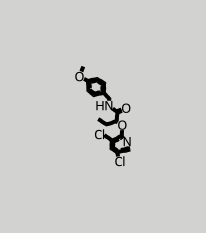 CCC(Oc1ncc(Cl)cc1Cl)C(=O)NCc1ccc(OC)cc1